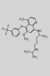 COc1cc(NC(C)CCCNC(C)C)c2nccc(C)c2c1Oc1cccc(C(F)(F)F)c1